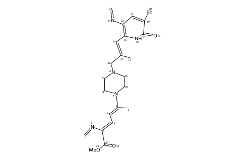 C=N/C(=C\C=C(/C)N1CCN(C/C(C)=C/c2[nH]c(=O)c(CC)cc2N=C)CC1)C(=O)OC